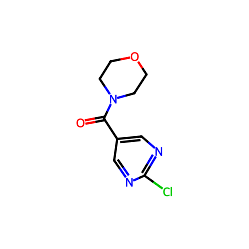 O=C(c1cnc(Cl)nc1)N1CCOCC1